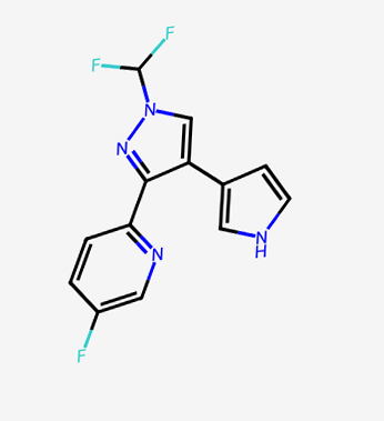 Fc1ccc(-c2nn(C(F)F)cc2-c2cc[nH]c2)nc1